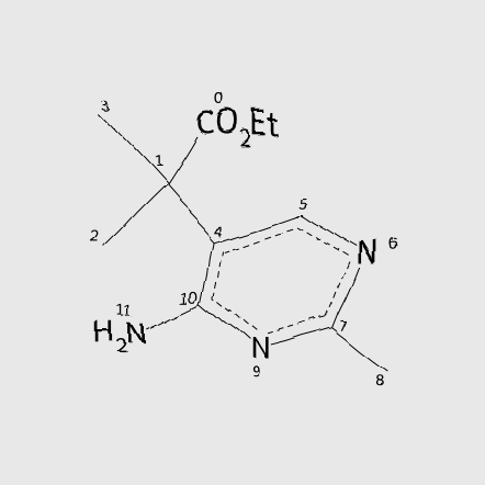 CCOC(=O)C(C)(C)c1cnc(C)nc1N